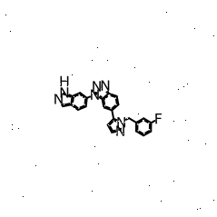 Fc1cccc(Cn2nccc2-c2ccc3nnn(-c4ccc5cn[nH]c5c4)c3c2)c1